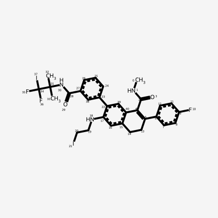 CNC(=O)C1=C(c2ccc(F)cc2)CCc2cc(NCCI)c(-c3cccc(C(=O)NC(C)(C)C(F)(F)I)c3)cc21